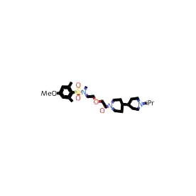 COc1cc(C)c(S(=O)(=O)N(C)CCOCC(=O)N2CCC(C3CCN(C(C)C)CC3)CC2)c(C)c1